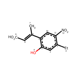 CCc1cc(O)c(C(C)=CC(=O)O)cc1[N+](=O)[O-]